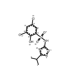 CC(C)c1nsc(NS(=O)(=O)c2cc(Cl)cc(Cl)c2O)n1